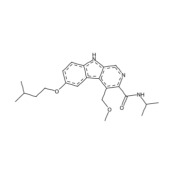 COCc1c(C(=O)NC(C)C)ncc2[nH]c3ccc(OCCC(C)C)cc3c12